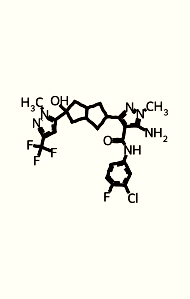 Cn1nc(C(F)(F)F)cc1C1(O)CC2CC(c3nn(C)c(N)c3C(=O)Nc3ccc(F)c(Cl)c3)CC2C1